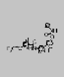 Cn1cc(OCC(F)(F)F)nc1C(=O)Nc1cc([C@H]2C[C@@H](OC(=O)NC34CC(C3)C4)CO2)[nH]n1